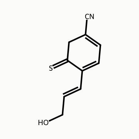 N#CC1=CC=C(C=CCO)C(=S)C1